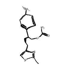 Cc1nc(CC(OC(N)=O)c2ccc(N)cc2)cs1